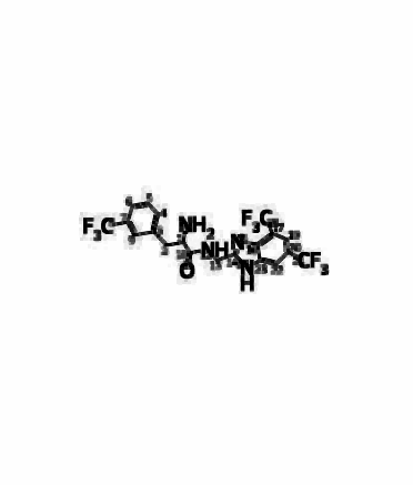 NC(Cc1cccc(C(F)(F)F)c1)C(=O)NCc1nc2c(C(F)(F)F)cc(C(F)(F)F)cc2[nH]1